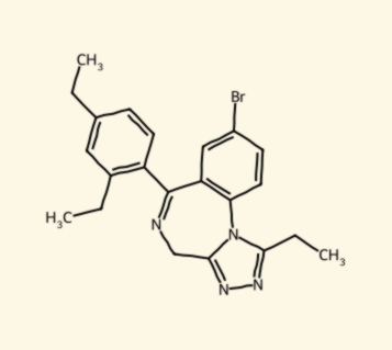 CCc1ccc(C2=NCc3nnc(CC)n3-c3ccc(Br)cc32)c(CC)c1